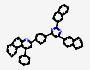 c1ccc(-c2cc(-c3ccc(-c4cc(-c5ccc6ccccc6c5)nc(-c5ccc6ccccc6c5)n4)cc3)nc3ccc4ccccc4c23)cc1